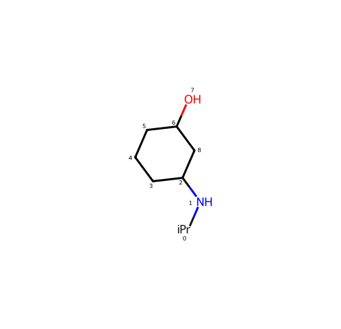 CC(C)NC1CCCC(O)C1